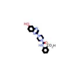 O=C(O)c1ccccc1NC(=O)N1CCN(c2cnc3cc(O)ccc3n2)CC1